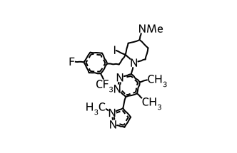 CNC1CCN(c2nnc(-c3ccnn3C)c(C)c2C)C(I)(Cc2ccc(F)cc2C(F)(F)F)C1